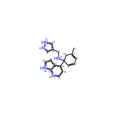 CC1=CC=CC(NCc2cn[nH]c2)(c2ccnc3[nH]ccc23)C1